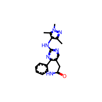 Cc1nn(C)c(C)c1Nc1ncc2c(n1)-c1ccccc1NC(=O)C2